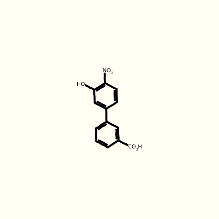 O=C(O)c1cccc(-c2ccc([N+](=O)[O-])c(O)c2)c1